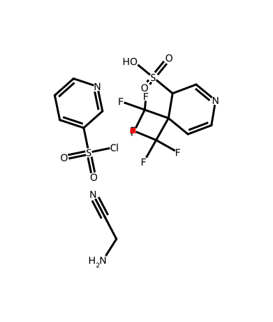 N#CCN.O=S(=O)(Cl)c1cccnc1.O=S(=O)(O)C1C=NC=CC1(C(F)(F)F)C(F)(F)F